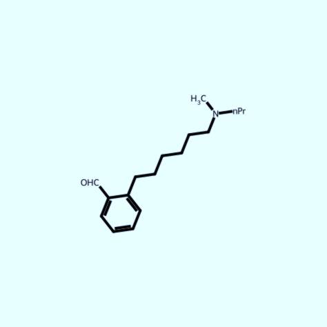 CCCN(C)CCCCCCc1ccccc1C=O